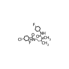 C=C(CCNC(=O)c1ccc(Cl)cc1F)[C@H](C)C(=O)Nc1ccc(F)cc1